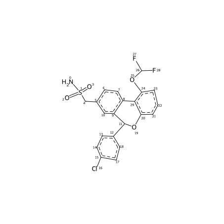 NS(=O)(=O)Cc1ccc2c(c1)C(c1ccc(Cl)cc1)Oc1cccc(OC(F)F)c1-2